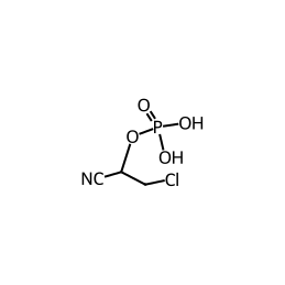 N#CC(CCl)OP(=O)(O)O